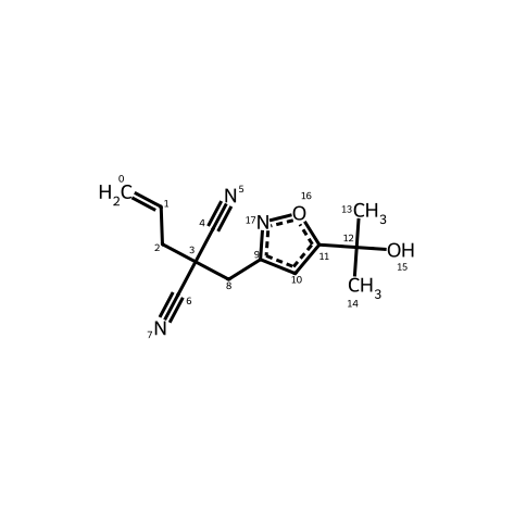 C=CCC(C#N)(C#N)Cc1cc(C(C)(C)O)on1